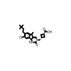 CC(C)C1=CN(C[C@H]2C[C@H](C(=O)O)C2)C(=O)N[C@@]1(C)c1ccc(CCC(C)(C)C)c(Cl)c1